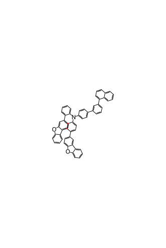 c1cc(-c2ccc(N(c3ccc(-c4ccc5oc6ccccc6c5c4)cc3)c3ccccc3-c3ccc4c(c3)oc3ccccc34)cc2)cc(-c2cccc3ccccc23)c1